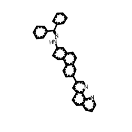 c1ccc(C(=NNc2ccc3c(ccc4cc(-c5cnc6c(ccc7cccnc76)c5)ccc43)c2)c2ccccc2)cc1